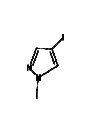 Ic1cnn(I)c1